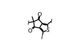 CC1(I)C(=O)c2c(I)sc(I)c2C1=O